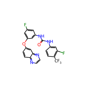 O=C(Nc1cc(F)cc(Oc2ccc3nccnc3c2)c1)Nc1ccc(C(F)(F)F)c(F)c1